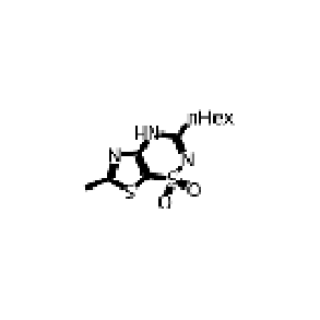 CCCCCCC1=NS(=O)(=O)c2sc(C)nc2N1